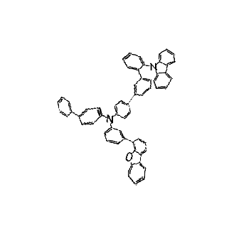 c1ccc(-c2ccc(N(c3ccc(-c4cccc(-c5ccccc5-n5c6ccccc6c6ccccc65)c4)cc3)c3cccc(-c4cccc5c4oc4ccccc45)c3)cc2)cc1